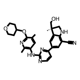 Cc1cc(Nc2nccc(-c3cc(C#N)c4c(c3)[C@@](C)(CO)CN4)n2)c(C)nc1OC1CCOCC1